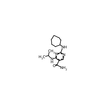 CC(C)Nc1nc(NC2CCCCCC2)ncc1C(N)=O